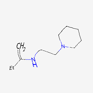 C=C(CC)NCCN1CCCCC1